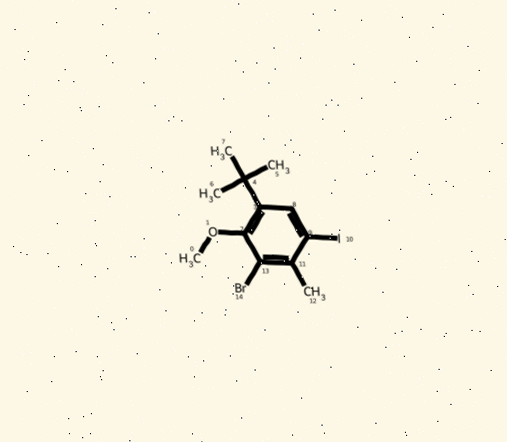 COc1c(C(C)(C)C)cc(I)c(C)c1Br